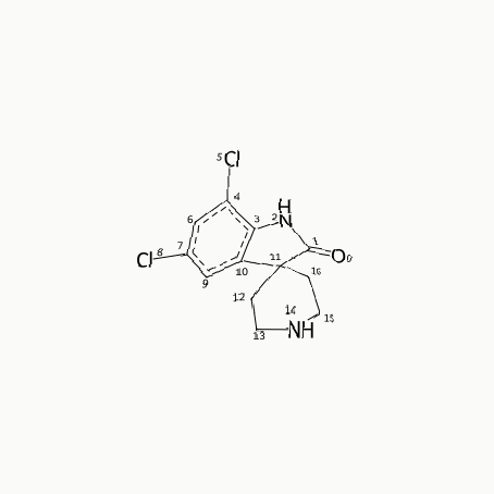 O=C1Nc2c(Cl)cc(Cl)cc2C12CCNCC2